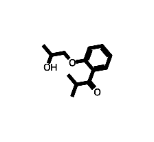 CC(O)COc1ccccc1C(=O)C(C)C